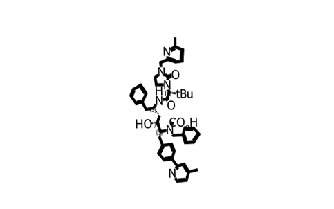 Cc1ccnc(-c2ccc(C[C@@H]([C@H](O)C[C@H](Cc3ccccc3)NC(=O)[C@@H](N3CCN(Cc4cccc(C)n4)C3=O)C(C)(C)C)N(Cc3ccccc3)C(=O)O)cc2)c1